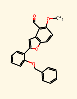 COc1ccc2oc(-c3ccccc3OCc3ccccc3)cc2c1C=O